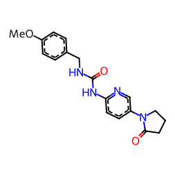 COc1ccc(CNC(=O)Nc2ccc(N3CCCC3=O)cn2)cc1